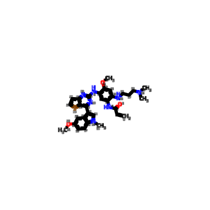 C=CC(=O)Nc1cc(Nc2nc(-c3cn(C)c4ccc(OC)cc34)c3sccc3n2)c(OC)cc1NCCCN(C)C